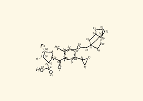 C[C@@H]1[C@H](F)CN(C(=O)c2cc(C3CC3)c(OCC34CCC5CC(CC5C3)C4)cc2F)[C@@H]1C(=O)O